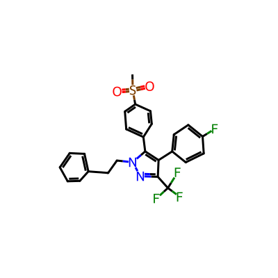 CS(=O)(=O)c1ccc(-c2c(-c3ccc(F)cc3)c(C(F)(F)F)nn2CCc2ccccc2)cc1